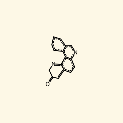 O=C1C=c2ccc3ncc4ccccc4c3c2=NC1